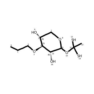 CCCO[C@H]1[C@H](O)COC(OC(C)(S)S)[C@@H]1O